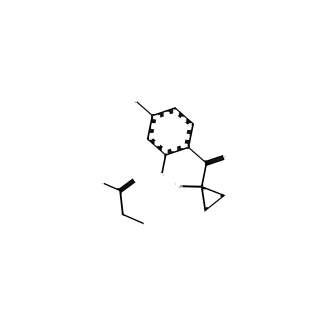 CCC(=O)O.NC1(C(=O)c2ccc(Cl)cc2Cl)CC1